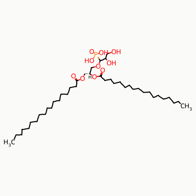 CCCCCCCCCCCCCCCCCC(=O)OC[C@H](COC(C(O)CO)P(=O)(O)O)OC(=O)CCCCCCCCCCCCCCCCC